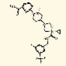 C[C@@H]1CN([C@@H]2CC[C@@](C(=O)NCc3cc(F)cc(C(F)(F)F)c3)(C3CC3)OC2)CC[C@H]1c1cccc(C(=O)O)c1